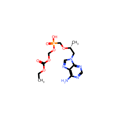 CCOC(=O)OCOP(=O)(O)CO[C@H](C)Cn1cnc2c(N)ncnc21